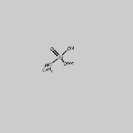 CO[As](=O)(O)O.[CaH2]